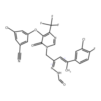 C/C(=C\C(Cn1cnc(C(F)(F)F)c(Oc2cc(Cl)cc(C#N)c2)c1=O)=N/NC=O)c1ccc(F)c(Cl)c1